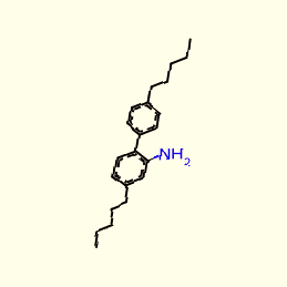 CCCCCc1ccc(-c2ccc(CCCCC)cc2N)cc1